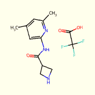 Cc1cc(C)nc(NC(=O)C2CNC2)c1.O=C(O)C(F)(F)F